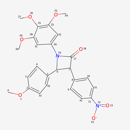 COc1ccc(C2C(c3ccc([N+](=O)[O-])cc3)C(=O)N2c2cc(OC)c(OC)c(OC)c2)cc1